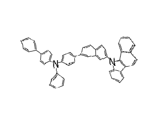 c1ccc(-c2ccc(N(c3ccccc3)c3ccc(-c4ccc5ccc(-n6c7ccccc7c7ccc8ccccc8c76)cc5c4)cc3)cc2)cc1